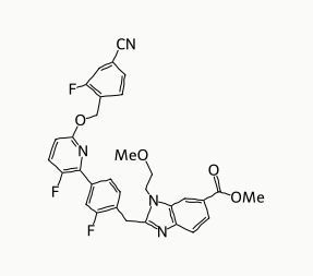 COCCn1c(Cc2ccc(-c3nc(OCc4ccc(C#N)cc4F)ccc3F)cc2F)nc2ccc(C(=O)OC)cc21